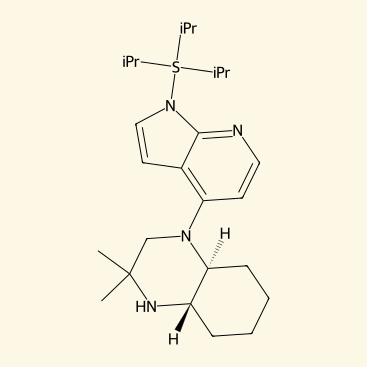 CC(C)S(C(C)C)(C(C)C)n1ccc2c(N3CC(C)(C)N[C@H]4CCCC[C@@H]43)ccnc21